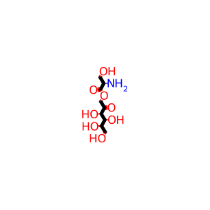 N[C@@H](CO)C(=O)OCC(=O)[C@@H](O)[C@H](O)[C@H](O)CO